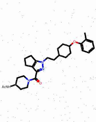 CC(=O)NC1CCN(C(=O)c2nn(CCC3CCC(Oc4ccccc4C)CC3)c3c2CCC3)CC1